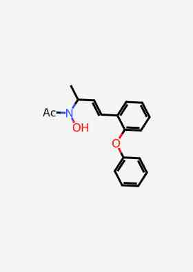 CC(=O)N(O)C(C)C=Cc1ccccc1Oc1ccccc1